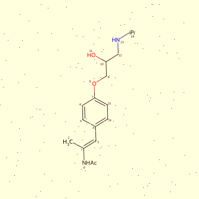 CC(=O)N/C(C)=C/c1ccc(OCC(O)CNC(C)C)cc1